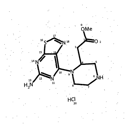 COC(=O)CC1CNCCN1c1nc(N)nc2scnc12.Cl